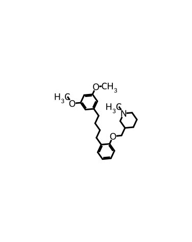 COc1cc(CCCCc2ccccc2OCC2CCCN(C)C2)cc(OC)c1